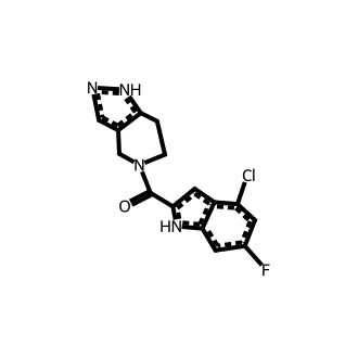 O=C(c1cc2c(Cl)cc(F)cc2[nH]1)N1CCc2[nH]ncc2C1